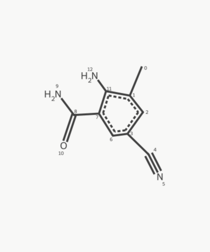 Cc1cc(C#N)cc(C(N)=O)c1N